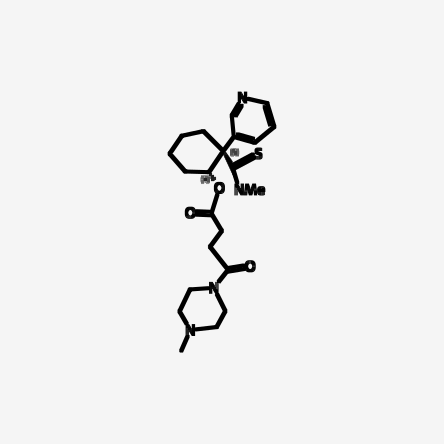 CNC(=S)[C@]1(c2cccnc2)CCCC[C@H]1OC(=O)CCC(=O)N1CCN(C)CC1